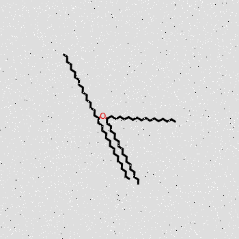 CCCCCCCCCCCCCCCCCC(CCCCCCCCCCCCCCCC)OC(CCCCCCCCCCCCCCCC)CCCCCCCCCCCCCCCCC